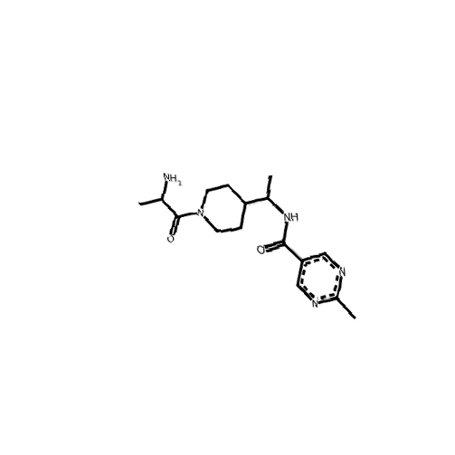 Cc1ncc(C(=O)NC(C)C2CCN(C(=O)C(C)N)CC2)cn1